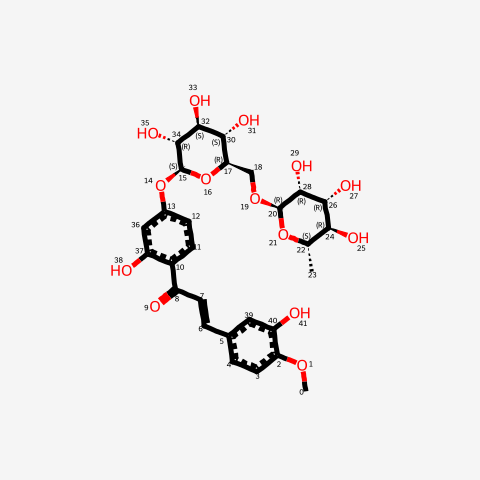 COc1ccc(C=CC(=O)c2ccc(O[C@@H]3O[C@H](CO[C@@H]4O[C@@H](C)[C@H](O)[C@@H](O)[C@H]4O)[C@@H](O)[C@H](O)[C@H]3O)cc2O)cc1O